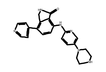 O=C1NCc2c(-c3ccncc3)ccc(Nc3ccc(N4CCNCC4)cn3)c21